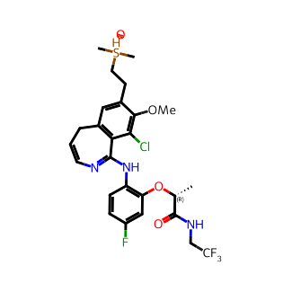 COc1c(CC[SH](C)(C)=O)cc2c(c1Cl)C(Nc1ccc(F)cc1O[C@H](C)C(=O)NCC(F)(F)F)=NC=CC2